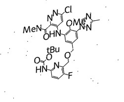 CNC(=O)c1nnc(Cl)cc1Nc1cc(COCc2nc(NC(=O)OC(C)(C)C)ccc2F)cc(-n2cnc(C)n2)c1OC